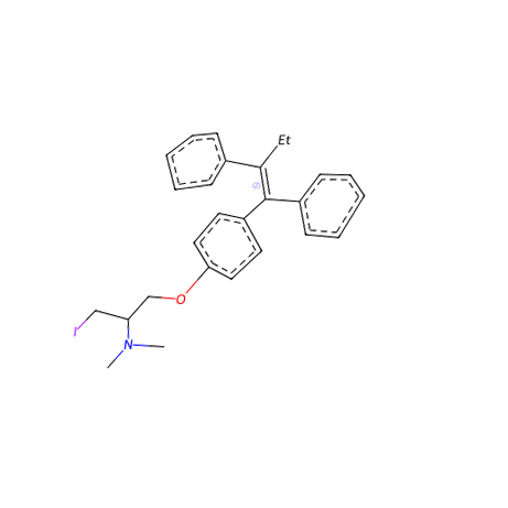 CC/C(=C(\c1ccccc1)c1ccc(OCC(CI)N(C)C)cc1)c1ccccc1